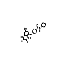 O=C(Nc1ccccc1)C1CCN(Cc2cc(Br)cc3[nH]c(=O)c(=O)[nH]c23)CC1